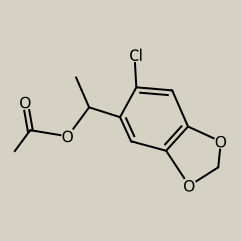 CC(=O)OC(C)c1cc2c(cc1Cl)OCO2